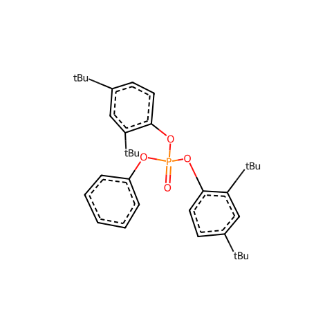 CC(C)(C)c1ccc(OP(=O)(Oc2ccccc2)Oc2ccc(C(C)(C)C)cc2C(C)(C)C)c(C(C)(C)C)c1